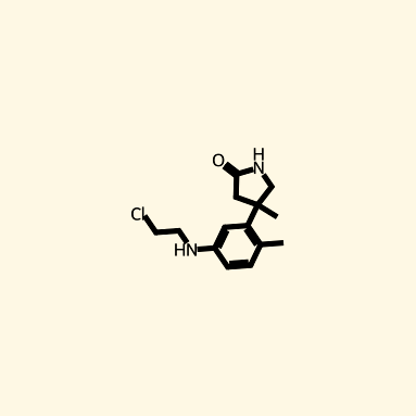 Cc1ccc(NCCCl)cc1C1(C)CNC(=O)C1